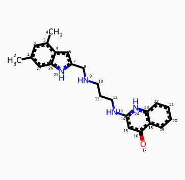 Cc1cc(C)c2cc(CNCCCNc3cc(=O)c4ccccc4[nH]3)[nH]c2c1